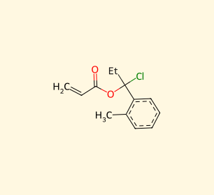 C=CC(=O)OC(Cl)(CC)c1ccccc1C